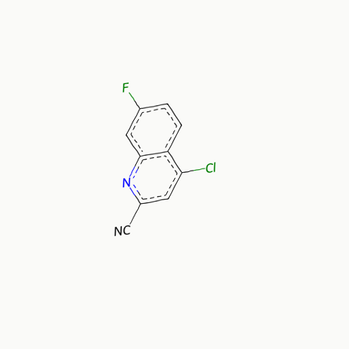 N#Cc1cc(Cl)c2ccc(F)cc2n1